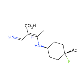 C/C(N[C@H]1CC[C@@](F)(C(C)=O)CC1)=C(/C=N)C(=O)O